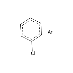 Clc1ccccc1.[Ar]